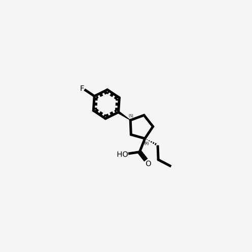 CCC[C@@]1(C(=O)O)CC[C@H](c2ccc(F)cc2)C1